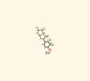 CCOc1ccc(C2CC3CC(C)C(F)C3C2F)c(F)c1F